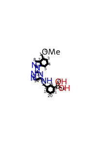 COCc1cccc2c1cnn2-c1nncc(NCc2cccc(B(O)O)c2)n1